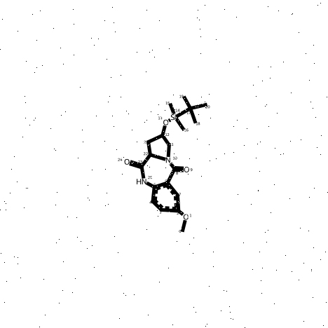 COc1ccc2c(c1)C(=O)N1CC(O[Si](C)(C)C(C)(C)C)CC1C(=O)N2